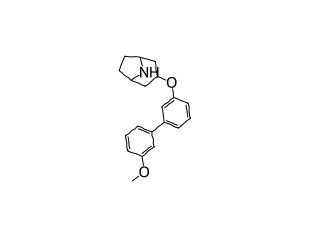 COc1cccc(-c2cccc(OC3CC4CCC(C3)N4)c2)c1